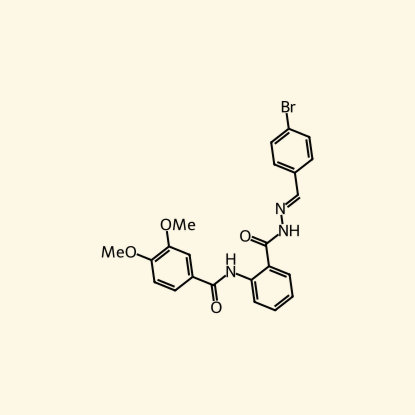 COc1ccc(C(=O)Nc2ccccc2C(=O)NN=Cc2ccc(Br)cc2)cc1OC